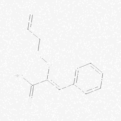 C=CCOOC(=Cc1ccccc1)C(=O)O